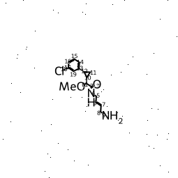 COC(C(=O)NC/C=C/CN)[C@@H]1C[C@@H]1c1cccc(Cl)c1